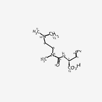 CC(C)C[C@H](NC(=O)N(C)CCN(C)C)C(=O)O